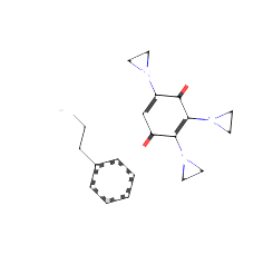 CCCCCCCCCCCCc1ccccc1.O=C1C=C(N2CC2)C(=O)C(N2CC2)=C1N1CC1